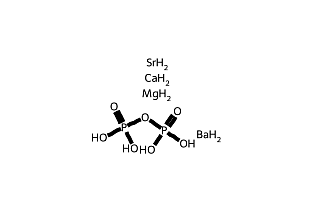 O=P(O)(O)OP(=O)(O)O.[BaH2].[CaH2].[MgH2].[SrH2]